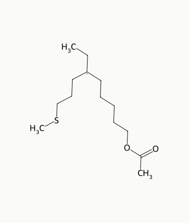 CC[C](CCCCCOC(C)=O)CCCSC